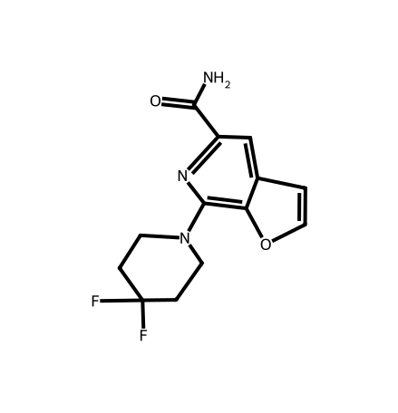 NC(=O)c1cc2ccoc2c(N2CCC(F)(F)CC2)n1